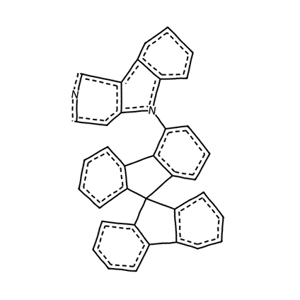 c1ccc2c(c1)-c1ccccc1C21c2ccccc2-c2c(-n3c4ccccc4c4cnccc43)cccc21